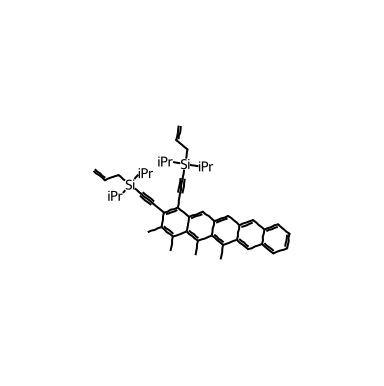 C=CC[Si](C#Cc1c(C)c(C)c2c(C)c3c(C)c4cc5ccccc5cc4cc3cc2c1C#C[Si](CC=C)(C(C)C)C(C)C)(C(C)C)C(C)C